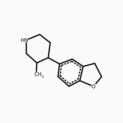 CC1CNCCC1c1ccc2c(c1)CCO2